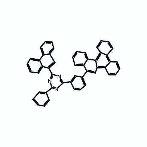 c1ccc(-c2nc(-c3cccc(-c4cc5c6ccccc6c6ccccc6c5c5ccccc45)c3)nc(-c3cc4ccccc4c4ccccc34)n2)cc1